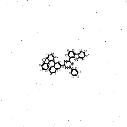 C1=CC2=CC(c3nc(-c4ccccc4)nc(-c4cccc5c4oc4ccccc45)n3)=CC(c3cccc4oc5ccccc5c34)C2C=C1